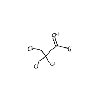 [CH]=C(Cl)C(Cl)(Cl)Cl